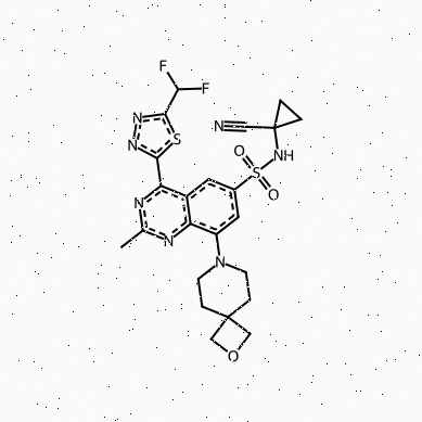 Cc1nc(-c2nnc(C(F)F)s2)c2cc(S(=O)(=O)NC3(C#N)CC3)cc(N3CCC4(CC3)COC4)c2n1